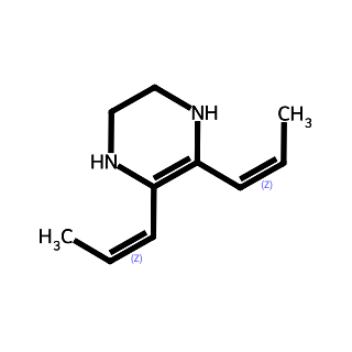 C/C=C\C1=C(/C=C\C)NCCN1